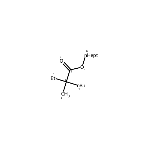 CCCCCCCOC(=O)C(C)(CC)CCCC